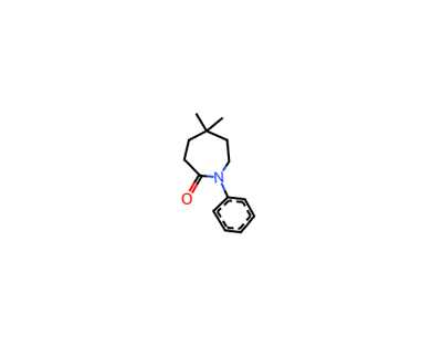 CC1(C)CCC(=O)N(c2ccccc2)CC1